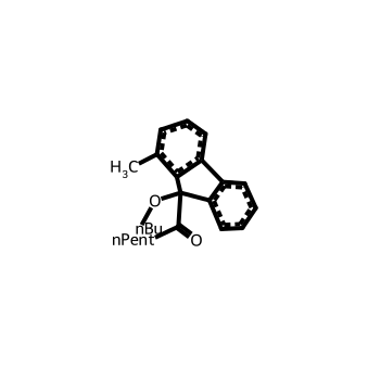 CCCCCC(=O)C1(OCCCC)c2ccccc2-c2cccc(C)c21